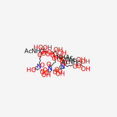 COP(=O)(O)OC[C@@H]1C[C@@H](OP(=O)(O)OC[C@@H]2C[C@@H](OP(=O)(O)OC[C@@H]3C[C@@H](O)CN3C(=O)CCCCOC3OC(CO)C(O)C(O)C3NC(C)=O)CN2C(=O)CCCCOC2OC(CO)C(O)C(O)C2NC(C)=O)CN1C(=O)CCCCOC1OC(CO)C(O)C(O)C1NC(C)=O